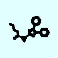 CCCCC(=O)[C@H]1C[C@@H]1c1nc(-c2ccccc2)c(-c2ccccc2)o1